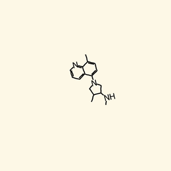 CNC1CN(c2ccc(C)c3ncccc23)CC1C